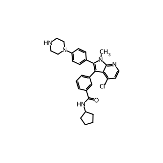 Cn1c(-c2ccc(N3CCNCC3)cc2)c(-c2cccc(C(=O)NC3CCCC3)c2)c2c(Cl)ccnc21